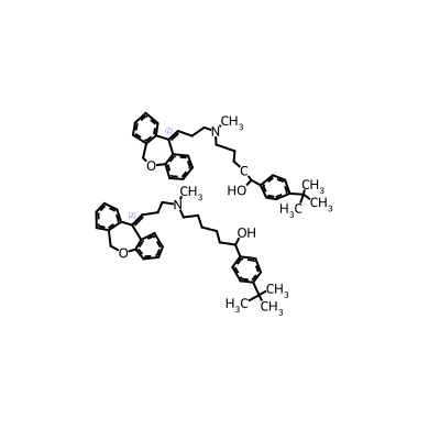 CN(CC/C=C1/c2ccccc2COc2ccccc21)CCCCC(O)c1ccc(C(C)(C)C)cc1.CN(CC/C=C1/c2ccccc2COc2ccccc21)CCCCCC(O)c1ccc(C(C)(C)C)cc1